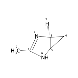 CC1=N[C@H]2CC2N1